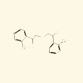 CCC(COCC(CC)c1ccccc1[N+](=O)[O-])c1ccccc1[N+](=O)[O-]